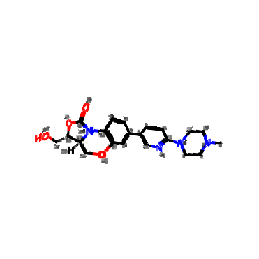 CN1CCN(c2ccc(-c3ccc4c(c3)OC[C@H]3[C@H](CO)OC(=O)N43)cn2)CC1